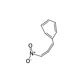 O=[N+]([O-])C=C=Cc1ccccc1